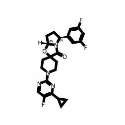 O=C1N2[C@@H](CC[C@H]2c2cc(F)cc(F)c2)OC12CCN(c1ncc(F)c(C3CC3)n1)CC2